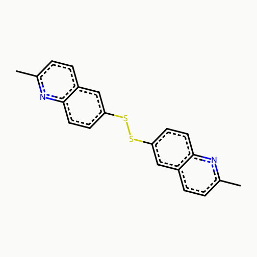 Cc1ccc2cc(SSc3ccc4nc(C)ccc4c3)ccc2n1